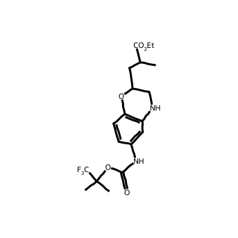 CCOC(=O)C(C)CC1CNc2cc(NC(=O)OC(C)(C)C(F)(F)F)ccc2O1